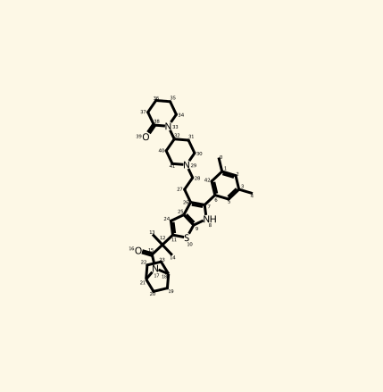 Cc1cc(C)cc(-c2[nH]c3sc(C(C)(C)C(=O)N4C5CCC4CC5)cc3c2CCN2CCC(N3CCCCC3=O)CC2)c1